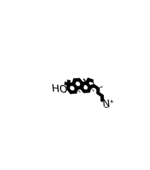 C[C@H](CCC=[N+](C)C)[C@H]1CC[C@@]2(C)C3=C(CC[C@]12C)[C@@]1(C)CCC(O)C(C)(C)C1CC3